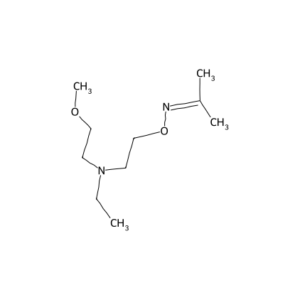 CCN(CCOC)CCON=C(C)C